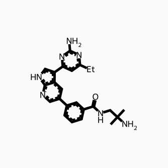 CCc1cc(-c2c[nH]c3ncc(-c4cccc(C(=O)NCC(C)(C)N)c4)cc23)nc(N)n1